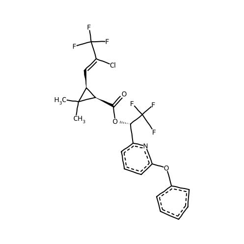 CC1(C)[C@H](C(=O)O[C@@H](c2cccc(Oc3ccccc3)n2)C(F)(F)F)[C@@H]1C=C(Cl)C(F)(F)F